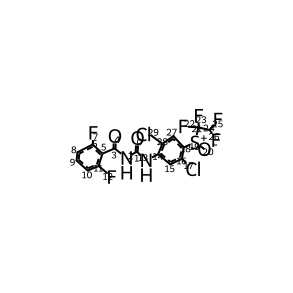 O=C(NC(=O)c1c(F)cccc1F)Nc1cc(Cl)c([S+]([O-])C(F)(F)C(F)F)cc1Cl